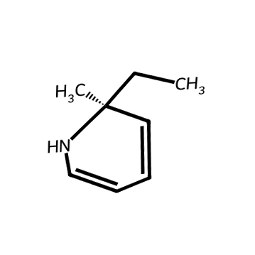 CC[C@@]1(C)C=CC=CN1